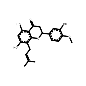 COc1ccc(C2CC(=O)c3c(O)cc(O)c(CC=C(C)C)c3O2)cc1O